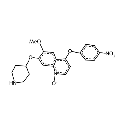 COc1cc2c(Oc3ccc([N+](=O)[O-])cc3)cc[n+]([O-])c2cc1OC1CCNCC1